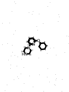 c1cc(OC2CCCCC2)nc(N2CCNCC2)c1